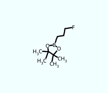 CC1(C)OB(CCCF)OC1(C)C